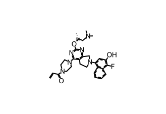 C=CC(=O)N1CCN(c2nc(O[C@H](C)CN(C)C)nc3c2CCN(c2cc(O)c(F)c4ccccc24)C3)CC1